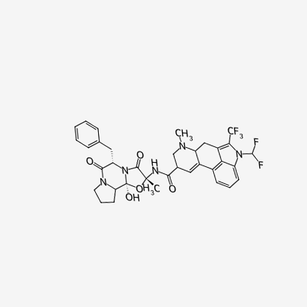 CN1CC(C(=O)N[C@]2(C)O[C@@]3(O)C4CCCN4C(=O)[C@H](Cc4ccccc4)N3C2=O)C=C2c3cccc4c3c(c(C(F)(F)F)n4C(F)F)CC21